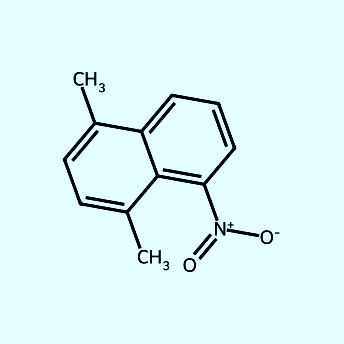 Cc1ccc(C)c2c([N+](=O)[O-])cccc12